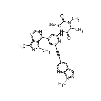 Cc1nn(C)c2c(-c3cc(C#Cc4cnc5c(cnn5C)c4)nc(NC(=O)C(C)N(C)C(=O)OC(C)(C)C)c3)ncnc12